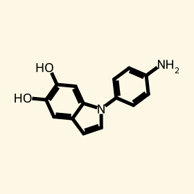 Nc1ccc(-n2ccc3cc(O)c(O)cc32)cc1